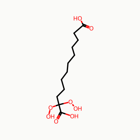 O=C(O)CCCCCCCCCC(OO)(OO)C(=O)O